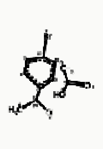 CC(=O)O.C[C@H](O)c1ccc(Br)cc1